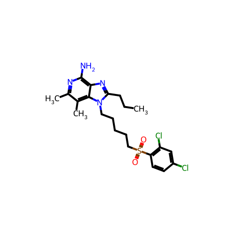 CCCc1nc2c(N)nc(C)c(C)c2n1CCCCCS(=O)(=O)c1ccc(Cl)cc1Cl